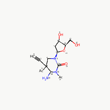 C#CC1(C(C)=O)CN([C@H]2CC(O)[C@@H](CO)O2)C(=O)N(C(C)=O)C1N